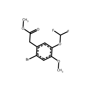 COC(=O)Cc1cc(OC(F)F)c(OC)cc1Br